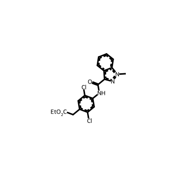 CCOC(=O)Cc1cc(Cl)c(NC(=O)c2nn(C)c3ccccc23)cc1Cl